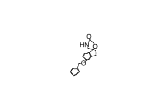 O=C1COC2(CCc3cc(OCc4ccccc4)ccc32)CN1